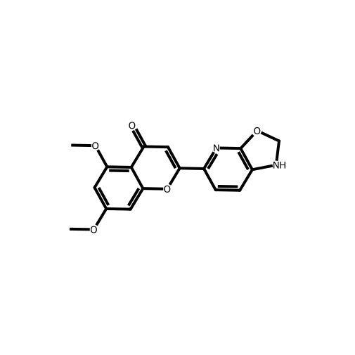 COc1cc(OC)c2c(=O)cc(-c3ccc4c(n3)OCN4)oc2c1